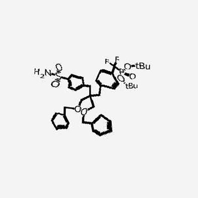 CC(C)(C)OP(=O)(OC(C)(C)C)C(F)(F)c1ccc(CC(COCc2ccccc2)(COCc2ccccc2)Cc2ccc(S(N)(=O)=O)cc2)cc1